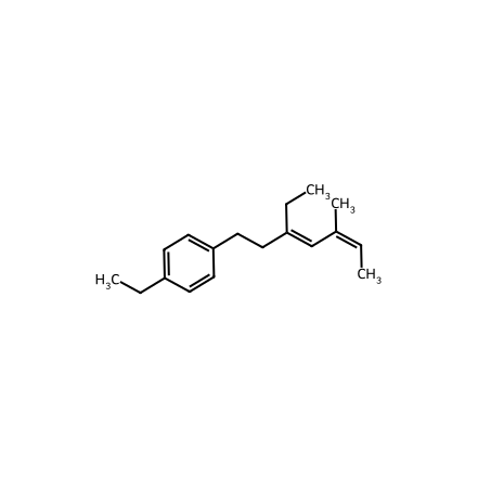 C/C=C(C)\C=C(/CC)CCc1ccc(CC)cc1